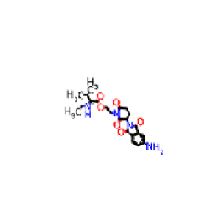 CCN[C@H](C(=O)OCCN1C(=O)CCC(N2C(=O)c3ccc(N)cc3C2=O)C1=O)C(C)C